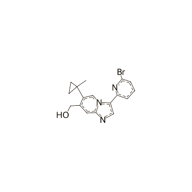 CC1(c2cn3c(-c4cccc(Br)n4)cnc3cc2CO)CC1